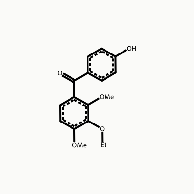 CCOc1c(OC)ccc(C(=O)c2ccc(O)cc2)c1OC